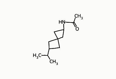 CC(=O)NC1CC2(C1)CC(C(C)C)C2